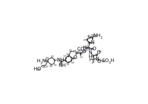 CC1(C)[C@H](NC(=O)/C(=N\O[C@](C)(C(=O)O)[C@H]2CCc3cc(C(=N)N[C@H]4CC[C@](N)(CCO)CC4)ccc3O2)c2csc(N)n2)C(=O)N1OS(=O)(=O)O